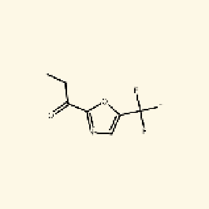 CCC(=O)c1ncc(C(F)(F)F)o1